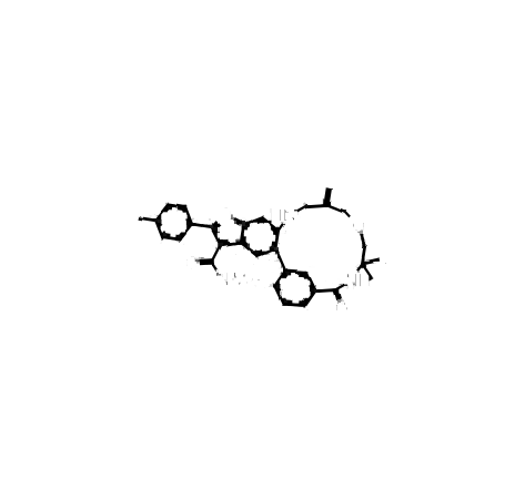 C=C1CNc2cc3oc(-c4ccc(C)cc4)c(C(=O)NC)c3cc2-c2cccc(c2)C(=O)NC(C)(C)COC1